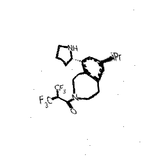 CC(C)c1cc2c(c([C@@H]3CCCN3)c1)CN(C(=O)C(C(F)(F)F)C(F)(F)F)CC2